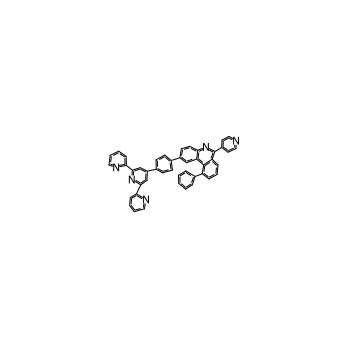 c1ccc(-c2cccc3c(-c4ccncc4)nc4ccc(-c5ccc(-c6cc(-c7ccccn7)nc(-c7ccccn7)c6)cc5)cc4c23)cc1